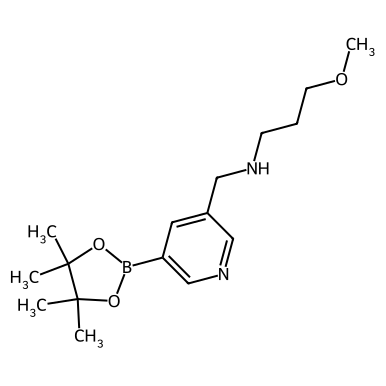 COCCCNCc1cncc(B2OC(C)(C)C(C)(C)O2)c1